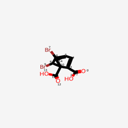 O=C(O)C1=CC2=C(Br)C(Br)C1(C(=O)O)C2